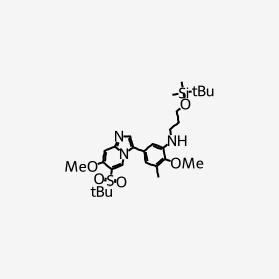 COc1cc2ncc(-c3cc(C)c(OC)c(NCCCO[Si](C)(C)C(C)(C)C)c3)n2cc1S(=O)(=O)C(C)(C)C